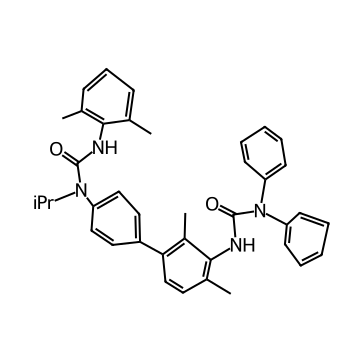 Cc1cccc(C)c1NC(=O)N(c1ccc(-c2ccc(C)c(NC(=O)N(c3ccccc3)c3ccccc3)c2C)cc1)C(C)C